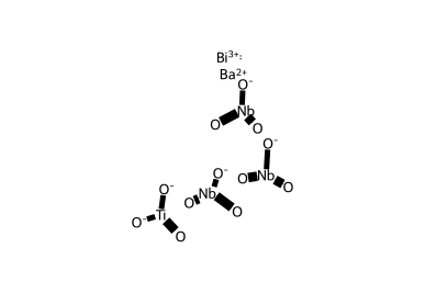 [Ba+2].[Bi+3].[O]=[Nb](=[O])[O-].[O]=[Nb](=[O])[O-].[O]=[Nb](=[O])[O-].[O]=[Ti]([O-])[O-]